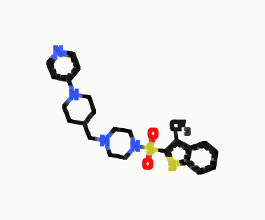 O=S(=O)(c1sc2ccccc2c1C(F)(F)F)N1CCN(CC2CCN(c3ccncc3)CC2)CC1